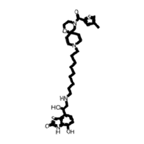 Cc1csc(C(=O)N2CCOC3(CCN(CCCCCCCCCNCC(O)c4ccc(O)c5[nH]c(=O)sc45)CC3)C2)c1